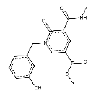 CNC(=O)c1cc(C(=O)OC)cn(Cc2cccc(O)c2)c1=O